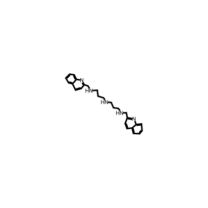 c1ccc2nc(CNCCCNCCCNCc3ccc4ccccc4n3)ccc2c1